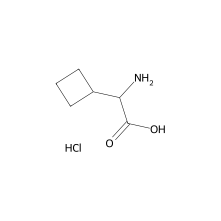 Cl.NC(C(=O)O)C1CCC1